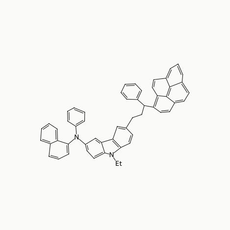 CCn1c2ccc(CCC(c3ccccc3)c3ccc4ccc5cccc6ccc3c4c56)cc2c2cc(N(c3ccccc3)c3cccc4ccccc34)ccc21